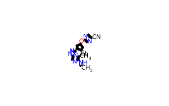 C=CNc1ncc2nnc([C@@H]3C[C@@H](Oc4cnc(C#N)cn4)C[C@@H]3CC)n2c1C